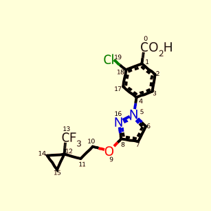 O=C(O)c1ccc(-n2ccc(OCCC3(C(F)(F)F)CC3)n2)cc1Cl